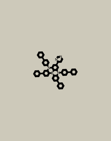 c1ccc(-c2ccc(N3c4cc(-c5ccccc5)ccc4B4c5ccc(-c6ccccc6)cc5N(c5ccc(-c6ccccc6)cc5)c5cc(-c6ccncn6)cc3c54)cc2)cc1